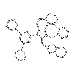 c1ccc(-c2cc(-c3ccccc3)nc(-n3c4cc5oc6ccccc6c5c5c4c4c6c(cccc6ccc43)-c3ccccc3-5)n2)cc1